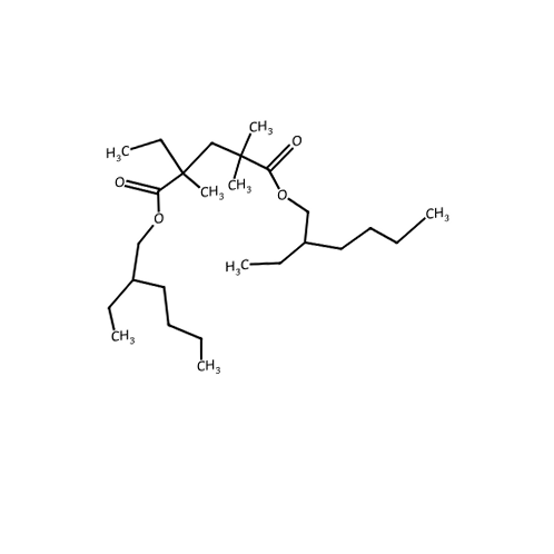 CCCCC(CC)COC(=O)C(C)(C)CC(C)(CC)C(=O)OCC(CC)CCCC